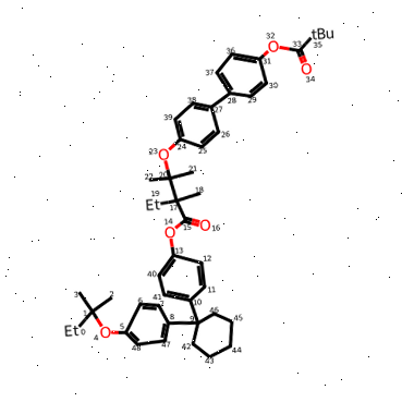 CCC(C)(C)Oc1ccc(C2(c3ccc(OC(=O)C(C)(CC)C(C)(C)Oc4ccc(-c5ccc(OC(=O)C(C)(C)C)cc5)cc4)cc3)CCCCC2)cc1